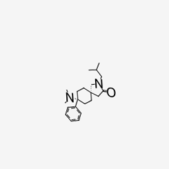 CC(C)CN1C[C@]2(CC[C@@](c3ccccc3)(N(C)C)CC2)CC1=O